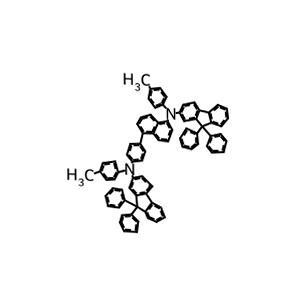 Cc1ccc(N(c2ccc(-c3cccc4c(N(c5ccc(C)cc5)c5ccc6c(c5)C(c5ccccc5)(c5ccccc5)c5ccccc5-6)cccc34)cc2)c2ccc3c(c2)C(c2ccccc2)(c2ccccc2)c2ccccc2-3)cc1